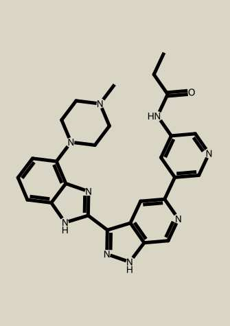 CCC(=O)Nc1cncc(-c2cc3c(-c4nc5c(N6CCN(C)CC6)cccc5[nH]4)n[nH]c3cn2)c1